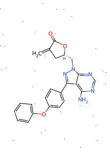 C=C1C[C@@H](Cn2nc(-c3ccc(Oc4ccccc4)cc3)c3c(N)ncnc32)OC1=O